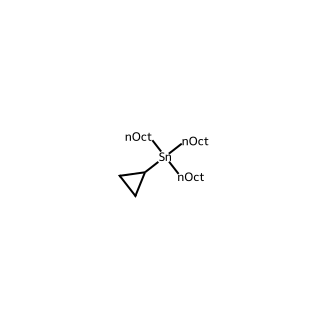 CCCCCCC[CH2][Sn]([CH2]CCCCCCC)([CH2]CCCCCCC)[CH]1CC1